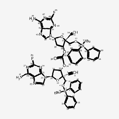 C#C[C@]1(CO[Si](c2ccccc2)(c2ccccc2)C(C)(C)C)O[C@@H](n2cnc3c(N)nc(F)nc32)C[C@@H]1OC(=O)O[C@H]1C[C@H](n2cnc3c(N)nc(F)nc32)O[C@]1(C#C)CO[Si](c1ccccc1)(c1ccccc1)C(C)(C)C